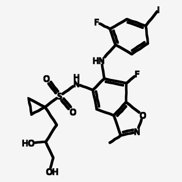 Cc1noc2c(F)c(Nc3ccc(I)cc3F)c(NS(=O)(=O)C3(CC(O)CO)CC3)cc12